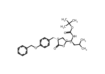 CC(C)C[C@H](NC(=O)OC(C)(C)C)[C@@H]1C[C@@H](Cc2ccc(OCc3ccccc3)cc2)C(=O)O1